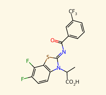 CC(C(=O)O)n1/c(=N/C(=O)c2cccc(C(F)(F)F)c2)sc2c(F)c(F)ccc21